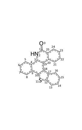 O=c1[nH]c2c3ccccc3c3sc4ccccc4c3c2c2ccccc12